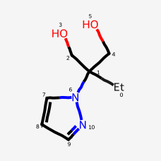 CCC(CO)(CO)n1c[c]cn1